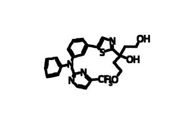 OCCC(O)(CCO)c1ncc(-c2cccc(N(c3ccccc3)c3nccc(C(F)(F)F)n3)c2)s1